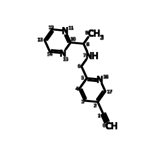 C#Cc1ccc(CNC(C)c2ncccn2)nc1